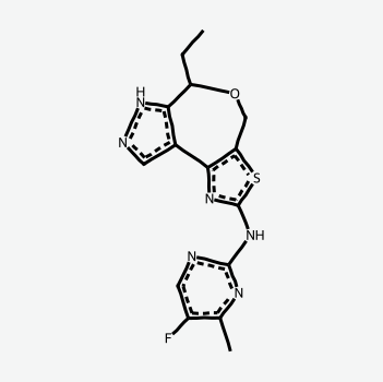 CCC1OCc2sc(Nc3ncc(F)c(C)n3)nc2-c2cn[nH]c21